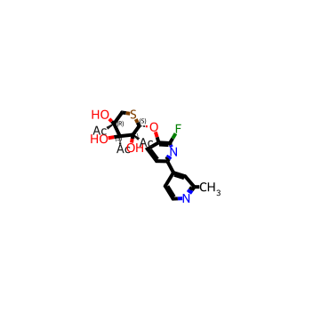 CC(=O)[C@]1(O)[C@@](O)(C(C)=O)CS[C@H](Oc2ccc(-c3ccnc(C)c3)nc2F)[C@@]1(O)C(C)=O